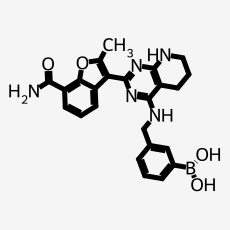 Cc1oc2c(C(N)=O)cccc2c1-c1nc2c(c(NCc3cccc(B(O)O)c3)n1)CCCN2